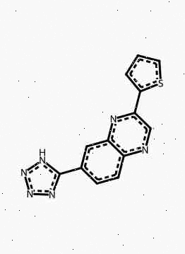 [c]1nc2ccc(-c3nnn[nH]3)cc2nc1-c1cccs1